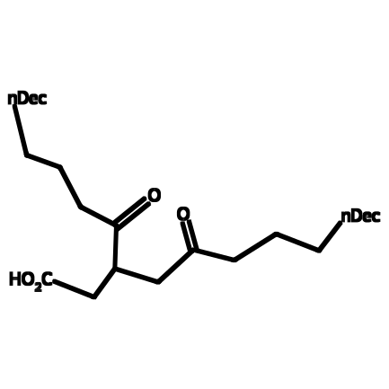 CCCCCCCCCCCCCC(=O)CC(CC(=O)O)C(=O)CCCCCCCCCCCCC